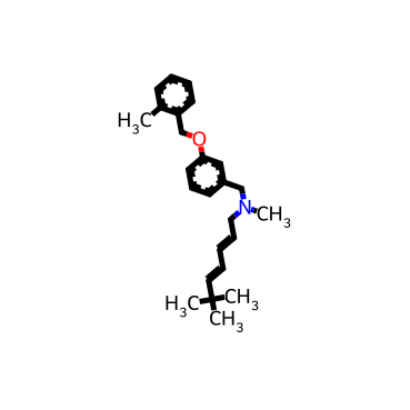 Cc1ccccc1COc1cccc(CN(C)C/C=C/C=CC(C)(C)C)c1